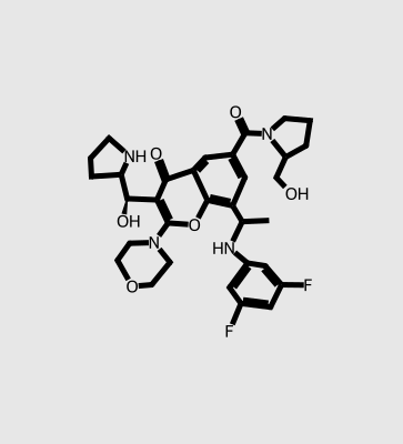 CC(Nc1cc(F)cc(F)c1)c1cc(C(=O)N2CCCC2CO)cc2c(=O)c([C@@H](O)C3CCCN3)c(N3CCOCC3)oc12